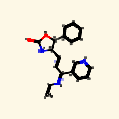 C=C/N=C(\C=C\[C@H]1NC(=O)O[C@@H]1c1ccccc1)c1cccnc1